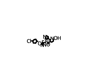 O=C(Nc1nnc(OCc2ccc(Cl)cc2)s1)c1ccc(O)nc1-c1ccncc1